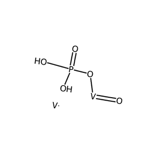 [O]=[V][O]P(=O)(O)O.[V]